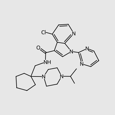 CC(C)N1CCN(C2(CNC(=O)c3cn(-c4ncccn4)c4nccc(Cl)c34)CCCCC2)CC1